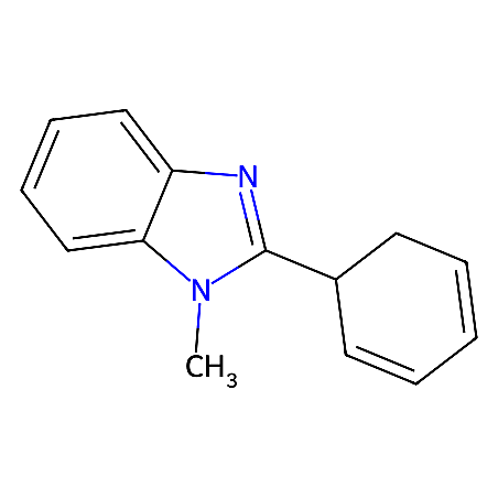 Cn1c(C2C=CC=CC2)nc2ccccc21